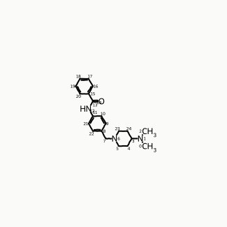 CN(C)C1CCN(Cc2ccc(NC(=O)c3ccccc3)cc2)CC1